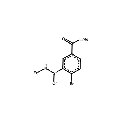 CCN[S+]([O-])c1cc(C(=O)OC)ccc1Br